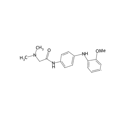 COc1c[c]ccc1Nc1ccc(NC(=O)CN(C)C)cc1